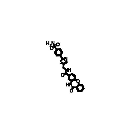 NS(=O)(=O)c1ccc(-c2ncc(CNC(=O)c3ccc4c(c3)NC(=O)c3ccccc3O4)s2)cc1